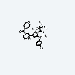 CN(c1ccc(Cl)s1)c1cc(C2CN(C(=O)N3CCOCC3)CCN2)nn1C(=O)C(C)(C)C